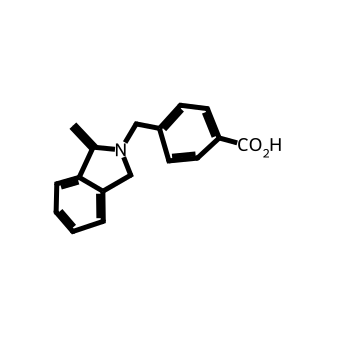 C=C1c2ccccc2CN1Cc1ccc(C(=O)O)cc1